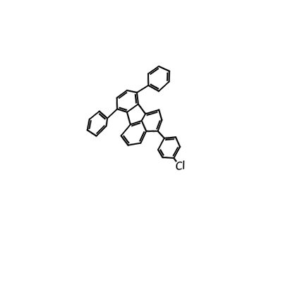 Clc1ccc(-c2ccc3c4c(cccc24)-c2c(-c4ccccc4)ccc(-c4ccccc4)c2-3)cc1